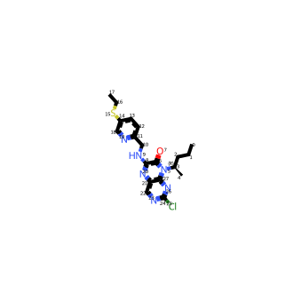 CCC[C@@H](C)n1c(=O)c(NCc2ccc(SCC)cn2)nc2cnc(Cl)nc21